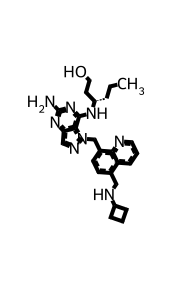 CCC[C@@H](CCO)Nc1nc(N)nc2cnn(Cc3ccc(CNC4CCC4)c4cccnc34)c12